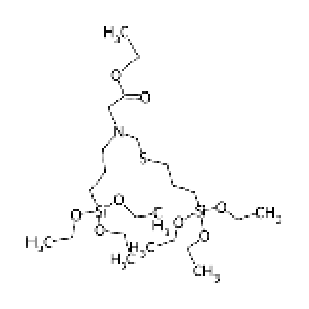 CCOC(=O)CN(CCC[Si](OCC)(OCC)OCC)CSCCC[Si](OCC)(OCC)OCC